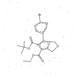 CCOC(=O)c1c2c(c(-c3ccc(Br)cc3)n1C(=O)OC(C)(C)C)COC2